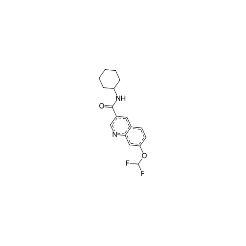 O=C(NC1CCCCC1)c1cnc2cc(OC(F)F)ccc2c1